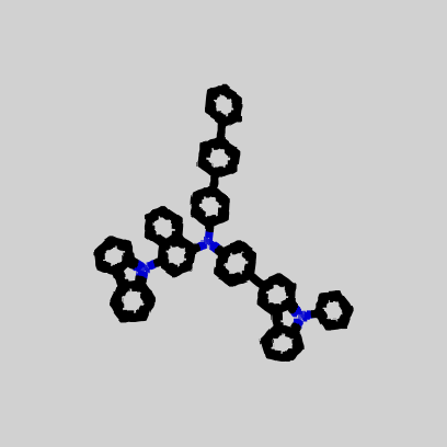 c1ccc(-c2ccc(-c3ccc(N(c4ccc(-c5ccc6c(c5)c5ccccc5n6-c5ccccc5)cc4)c4ccc(-n5c6ccccc6c6ccccc65)c5ccccc45)cc3)cc2)cc1